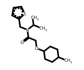 CC1CCC(OCC(=O)N(Cc2cccs2)C(C)C)CC1